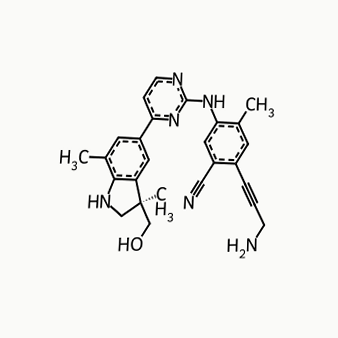 Cc1cc(C#CCN)c(C#N)cc1Nc1nccc(-c2cc(C)c3c(c2)[C@@](C)(CO)CN3)n1